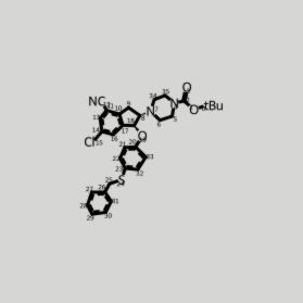 CC(C)(C)OC(=O)N1CCN([C@H]2Cc3c(C#N)cc(Cl)cc3[C@@H]2Oc2ccc(SCc3ccccc3)cc2)CC1